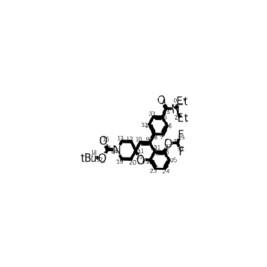 CCN(CC)C(=O)c1ccc(C2=CC3(CCN(C(=O)OC(C)(C)C)CC3)Oc3cccc(OC(F)F)c32)cc1